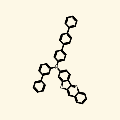 c1ccc(-c2ccc(-c3ccc(N(c4cccc(-c5ccccc5)c4)c4ccc5c(c4)oc4cc6ccccc6nc45)cc3)cc2)cc1